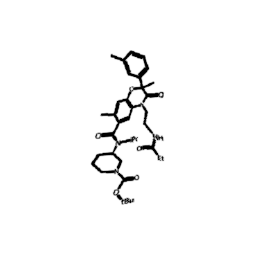 CCC(=O)NCCN1C(=O)C(C)(c2cccc(C)c2)Oc2cc(C)c(C(=O)N(C(C)C)[C@@H]3CCCN(C(=O)OC(C)(C)C)C3)cc21